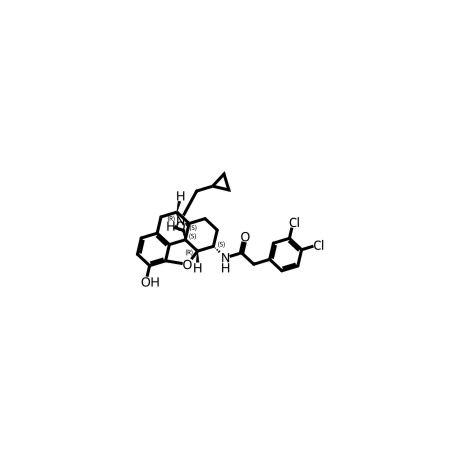 O=C(Cc1ccc(Cl)c(Cl)c1)N[C@H]1CC[C@@]2(O)[C@H]3Cc4ccc(O)c5c4[C@@]2(CCN3CC2CC2)[C@H]1O5